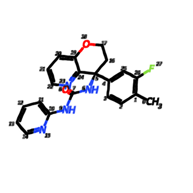 Cc1ccc([C@@]2(NC(=O)Nc3ccccn3)CCOc3cccnc32)cc1F